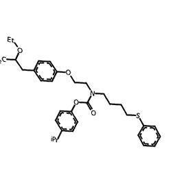 CCOC(Cc1ccc(OCCN(CCCCSc2ccccc2)C(=O)Oc2ccc(C(C)C)cc2)cc1)C(=O)O